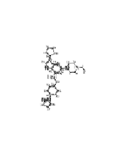 CCN1CCN(c2nc(NCc3ccc(-n4cccn4)cc3)c3ncn(C4CCCC4)c3n2)CC1